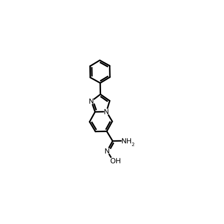 N/C(=N\O)c1ccc2nc(-c3ccccc3)cn2c1